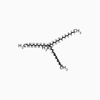 CCCCCCCCCCCCCCCCCC(P)(CCCCCCCCCCCCCC)CCCCCCCCCCCCCC